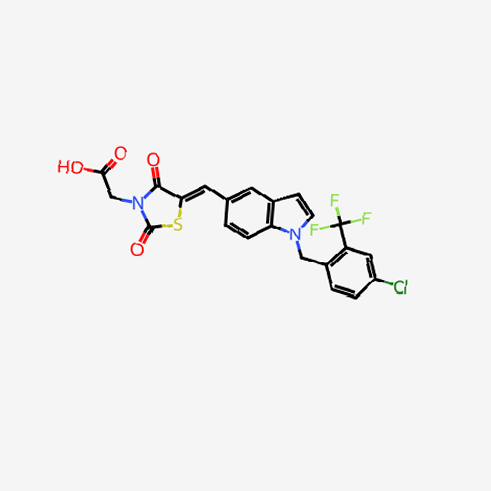 O=C(O)CN1C(=O)S/C(=C\c2ccc3c(ccn3Cc3ccc(Cl)cc3C(F)(F)F)c2)C1=O